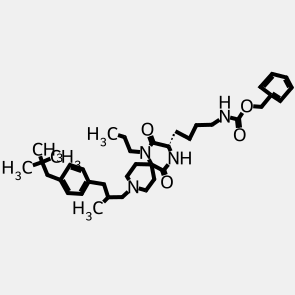 CCCN1C(=O)[C@H](CCCCNC(=O)OCc2ccccc2)NC(=O)C12CCN(CC(C)Cc1ccc(CC(C)(C)C)cc1)CC2